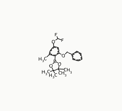 Cc1cc(OC(F)F)cc(OCc2ccccc2)c1B1OC(C)(C)C(C)(C)O1